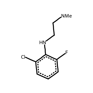 CNCCNc1c(F)cccc1Cl